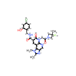 Cc1nc2cnc3c(cc(C(=O)NCc4ccc(Cl)cc4O)c(=O)n3CC(=O)N3CC(C)(F)C3)c2n1C